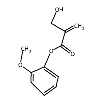 C=C(CO)C(=O)Oc1ccccc1OC